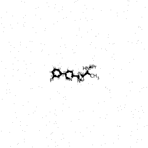 CC(C)NC(C)c1nc(-c2ccc(-c3cccc(F)c3)cn2)no1